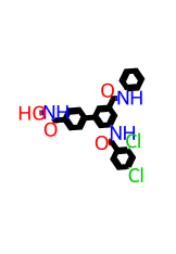 O=C(NO)c1ccc(-c2cc(NC(=O)c3ccc(Cl)cc3Cl)cc(C(=O)Nc3ccccc3)c2)cc1